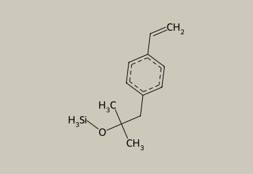 C=Cc1ccc(CC(C)(C)O[SiH3])cc1